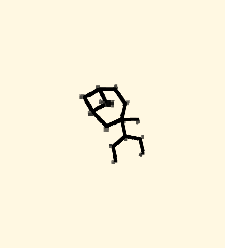 CCC(CC)C1(C)CCC2CC(C1)N2